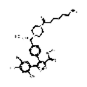 CCNC(=O)c1noc(-c2cc(C(C)C)c(O)cc2O)c1-c1ccc(CN2CCN(C(=O)CCCCCN)CC2)cc1.Cl.Cl